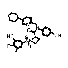 N#Cc1ccc(N(Cc2ccc(C3CCCCC3)cn2)C(=O)[C@H]2CCN2S(=O)(=O)c2cc(F)c(F)c(C#N)c2)cc1